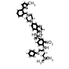 Cc1ccc(-c2ccccc2CN2CCN(c3ccc4c(NS(=O)(=O)c5ccc(N[C@H](CCN(C)C)CSc6ccccc6)c([N+](=O)[O-])c5)ncnc4c3)CC2)s1